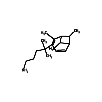 CC1=C(C(C)(C)CCCN)C=CC2C(C)C1C2C